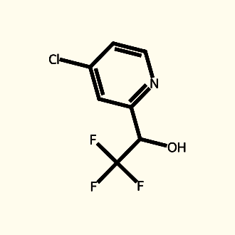 OC(c1cc(Cl)ccn1)C(F)(F)F